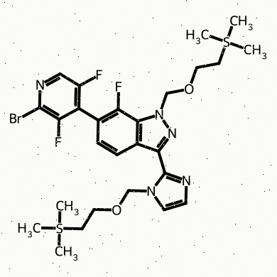 CS(C)(C)CCOCn1ccnc1-c1nn(COCCS(C)(C)C)c2c(F)c(-c3c(F)cnc(Br)c3F)ccc12